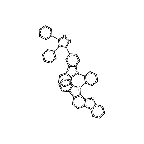 c1ccc(-c2nnc(-c3ccc4c(c3)c3ccccc3n4-c3ccccc3-n3c4ccccc4c4ccc5c6ccccc6oc5c43)n2-c2ccccc2)cc1